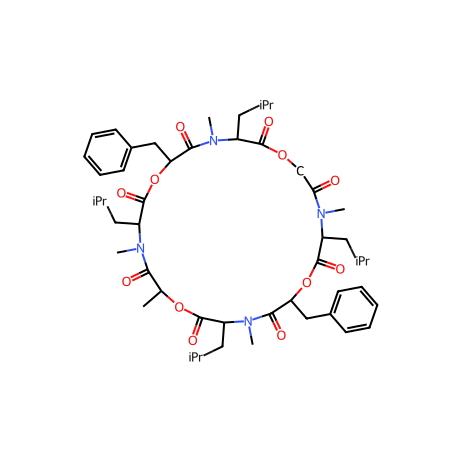 CC(C)CC1C(=O)OC(Cc2ccccc2)C(=O)N(C)C(CC(C)C)C(=O)OC(C)C(=O)N(C)C(CC(C)C)C(=O)OC(Cc2ccccc2)C(=O)N(C)C(CC(C)C)C(=O)OCC(=O)N1C